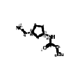 CC(C)(C)OC(=O)N[C@H]1CC[C@@H](CC#N)C1